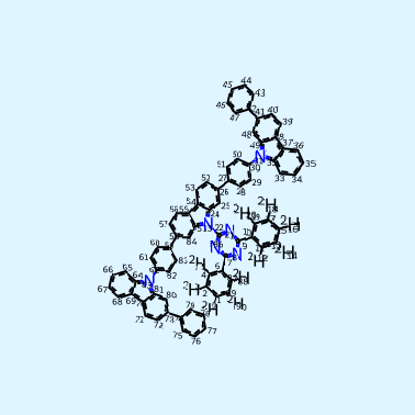 [2H]c1c([2H])c([2H])c(-c2nc(-c3c([2H])c([2H])c([2H])c([2H])c3[2H])nc(-n3c4cc(-c5ccc(-n6c7ccccc7c7ccc(-c8ccccc8)cc76)cc5)ccc4c4ccc(-c5ccc(-n6c7ccccc7c7ccc(-c8ccccc8)cc76)cc5)cc43)n2)c([2H])c1[2H]